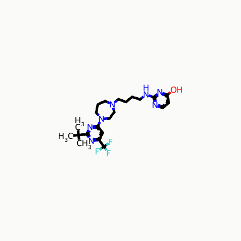 CC(C)(C)c1nc(N2CCCN(CCCCNc3nccc(O)n3)CC2)cc(C(F)(F)F)n1